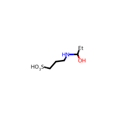 CCC(O)NCCCS(=O)(=O)O